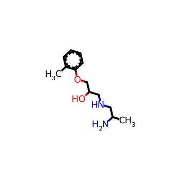 Cc1ccccc1OCC(O)CNCC(C)N